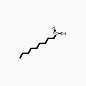 CCCCCCCCC[13C](=O)O